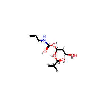 C=CCNC(=O)OC(CCO)OC(=O)C(=C)C